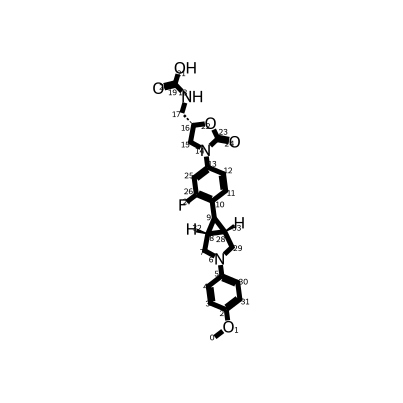 COc1ccc(N2C[C@@H]3C(c4ccc(N5C[C@H](CNC(=O)O)OC5=O)cc4F)[C@@H]3C2)cc1